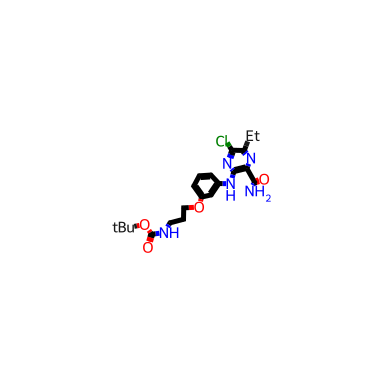 CCc1nc(C(N)=O)c(Nc2cccc(OCCCNC(=O)OC(C)(C)C)c2)nc1Cl